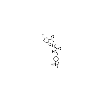 Cc1cc2cc(CNC(=O)N3CC4(CC(=O)c5cc(F)ccc5O4)C3)ccc2[nH]1